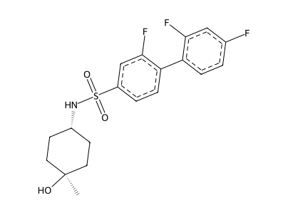 C[C@]1(O)CC[C@H](NS(=O)(=O)c2ccc(-c3ccc(F)cc3F)c(F)c2)CC1